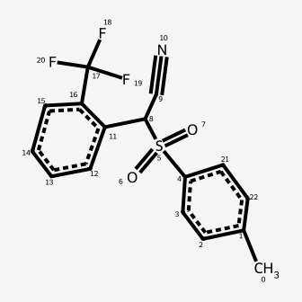 Cc1ccc(S(=O)(=O)C(C#N)c2ccccc2C(F)(F)F)cc1